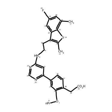 CCCOc1cc(-c2cc(NCCc3c(C)sc4c(C)cc(F)cc34)ncn2)ccc1CC(=O)O